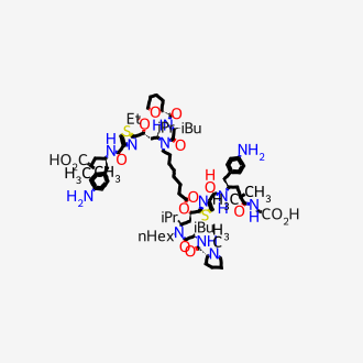 CCCCCCN(C(=O)[C@@H](NC(=O)[C@H]1CCCCN1C)[C@@H](C)CC)[C@H](C[C@@H](OC(=O)CCCCCCCN(C(=O)[C@@H](NC(=O)[C@H]1CCCCO1)[C@@H](C)CC)[C@H](C[C@@H](OCC)c1nc(C(=O)N[C@@H](Cc2ccc(N)cc2)CC(C)(C)C(=O)O)cs1)C(C)C)c1nc(C(O)N[C@@H](Cc2ccc(N)cc2)CC(C)(C)C(=O)NCC(=O)O)cs1)C(C)C